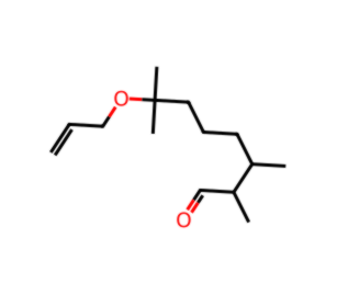 C=CCOC(C)(C)CCCC(C)C(C)C=O